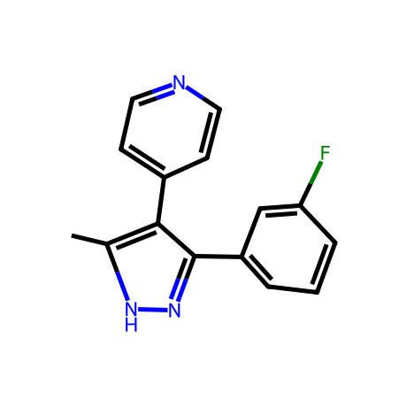 Cc1[nH]nc(-c2cccc(F)c2)c1-c1ccncc1